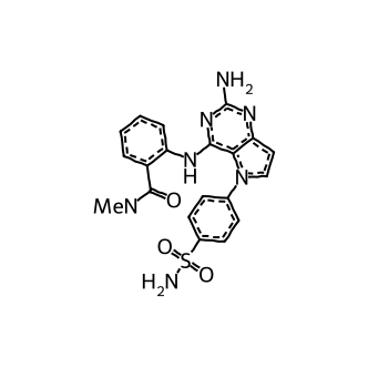 CNC(=O)c1ccccc1Nc1nc(N)nc2ccn(-c3ccc(S(N)(=O)=O)cc3)c12